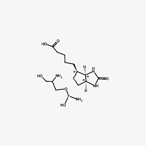 NC(CO)COP(N)O.O=C(O)CCCC[C@@H]1SC[C@@H]2NC(=O)N[C@@H]21